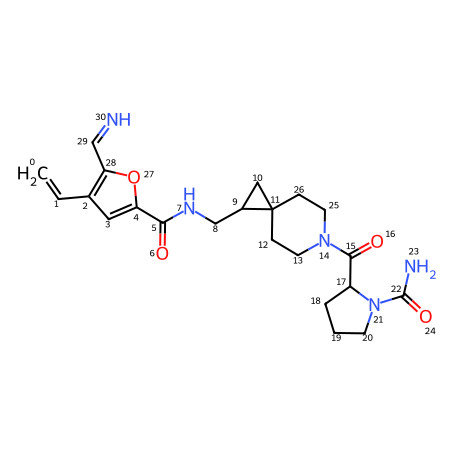 C=Cc1cc(C(=O)NCC2CC23CCN(C(=O)C2CCCN2C(N)=O)CC3)oc1C=N